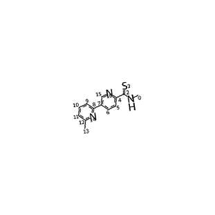 CNC(=S)c1ccc(-c2cccc(C)n2)cn1